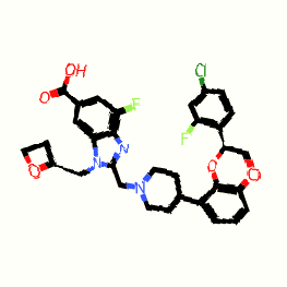 O=C(O)c1cc(F)c2nc(CN3CCC(c4cccc5c4O[C@@H](c4ccc(Cl)cc4F)CO5)CC3)n(C[C@@H]3CCO3)c2c1